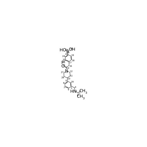 CC(C)NCc1cccc(C2CCN(C(=O)Cc3ccc(B(O)O)cc3F)CC2)c1